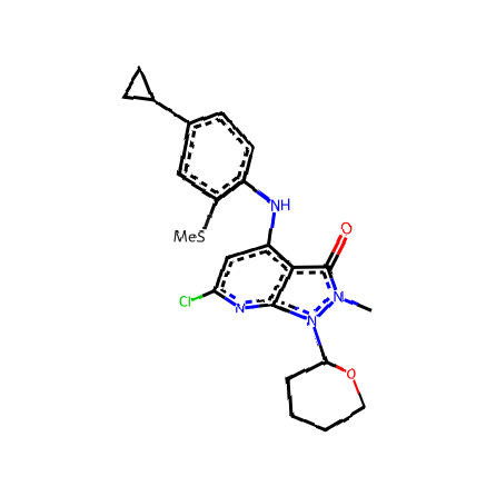 CSc1cc(C2CC2)ccc1Nc1cc(Cl)nc2c1c(=O)n(C)n2C1CCCCO1